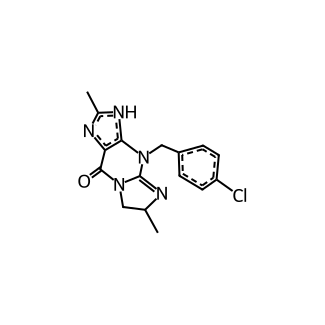 Cc1nc2c([nH]1)N(Cc1ccc(Cl)cc1)C1=NC(C)CN1C2=O